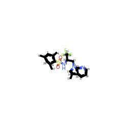 Cc1cc(C)c(S(=O)(=O)NC(Cn2cc(C)c3cccnc32)C(F)(F)F)c(C)c1